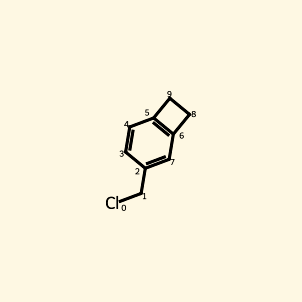 ClCc1ccc2c(c1)CC2